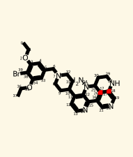 CCOc1cc(CN2CCC(c3ccnc(-c4cccnc4)c3N(N)C3CCNCC3)CC2)cc(OCC)c1Br